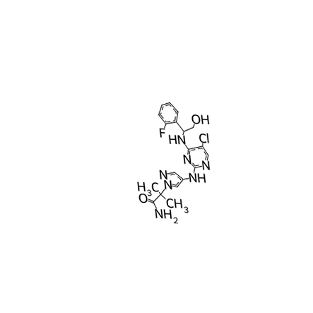 CC(C)(C(N)=O)n1cc(Nc2ncc(Cl)c(NC(CO)c3ccccc3F)n2)cn1